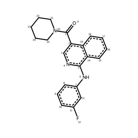 O=C(c1cnc(Nc2cccc(F)c2)c2ccccc12)N1CCCCC1